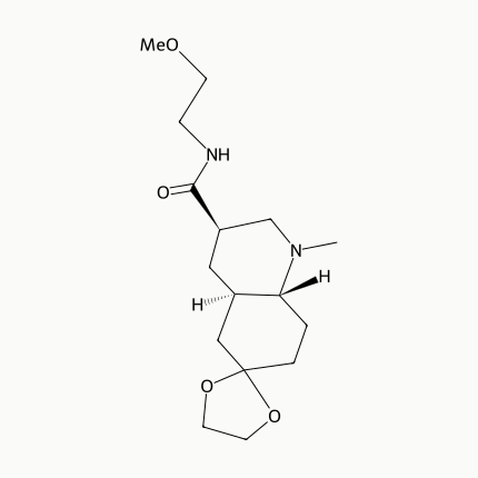 COCCNC(=O)[C@@H]1C[C@@H]2CC3(CC[C@H]2N(C)C1)OCCO3